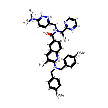 COc1ccc(CN(Cc2ccc(OC)cc2)c2nc3ccc(C(=O)N(Cc4ccc(N(C)C)nn4)C(C)c4ncccn4)cc3cc2C)cc1